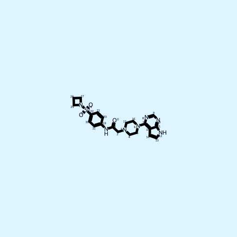 O=C(CN1CCN(c2ncnc3[nH]ccc23)CC1)Nc1ccc(S(=O)(=O)N2CCC2)cc1